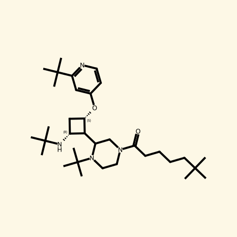 CC(C)(C)CCCCC(=O)N1CCN(C(C)(C)C)C(C2[C@@H](Oc3ccnc(C(C)(C)C)c3)C[C@H]2NC(C)(C)C)C1